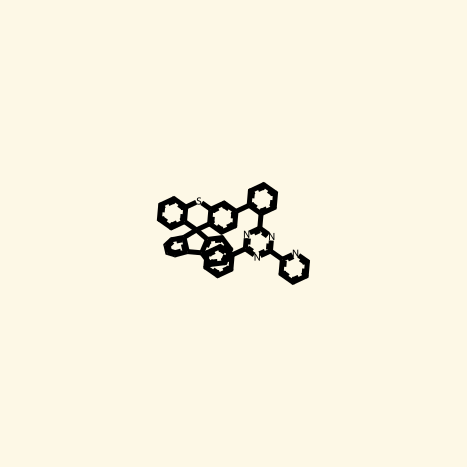 c1ccc(-c2nc(-c3ccccn3)nc(-c3ccccc3-c3ccc4c(c3)Sc3ccccc3C43c4ccccc4-c4ccccc43)n2)cc1